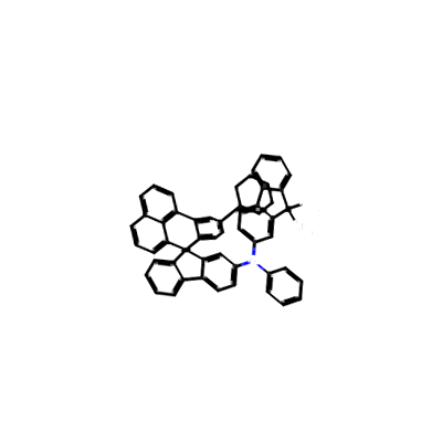 CC1(C)c2ccccc2-c2ccc(N(c3ccccc3)c3ccc4c(c3)C3(c5ccccc5-4)c4ccc(C5CCCCC5)cc4-c4cccc5cccc3c45)cc21